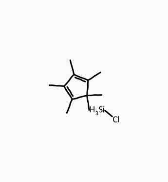 CC1=C(C)C(C)(C)C(C)=C1C.[SiH3]Cl